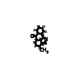 Cc1ccc2c3c(nsc13)-c1ccccc1C2=O